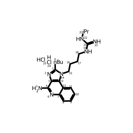 CCCCc1nc2c(N)nc3ccccc3c2n1CCCCNC(=N)NC(C)C.Cl.Cl